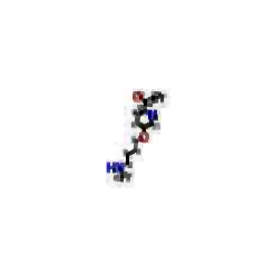 CC(C)NCCCCOc1ccc(C(=O)C(C)C)nc1